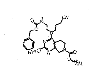 COc1nc2c(c(N(CCCC#N)CCN(C)C(=O)OCc3ccccc3)n1)CCN(C(=O)OC(C)(C)C)C2